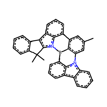 Cc1cc2c3c(c1)-n1c4ccccc4c4cccc(c41)B3n1c3c(c4cccc-2c41)-c1ccccc1C3(C)C